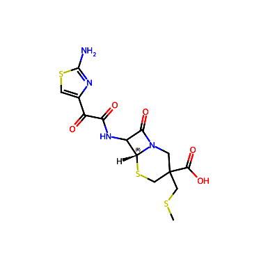 CSCC1(C(=O)O)CS[C@@H]2C(NC(=O)C(=O)c3csc(N)n3)C(=O)N2C1